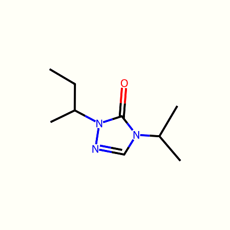 CCC(C)n1ncn(C(C)C)c1=O